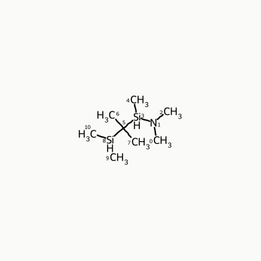 CN(C)[SiH](C)C(C)(C)[SiH](C)C